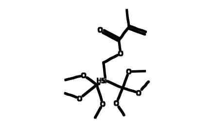 C=C(C)C(=O)OC[SiH](C(OC)(OC)OC)C(OC)(OC)OC